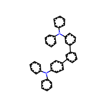 c1ccc(N(c2ccccc2)c2ccc(-c3cccc(-c4cccc(N(c5ccccc5)c5ccccc5)c4)c3)cc2)cc1